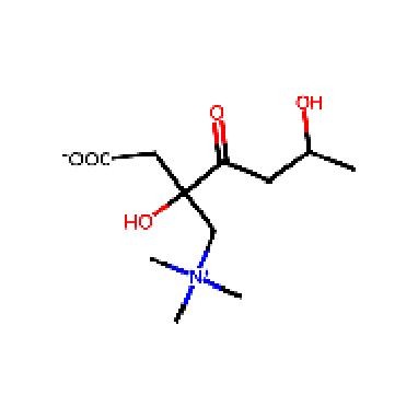 CC(O)CC(=O)C(O)(CC(=O)[O-])C[N+](C)(C)C